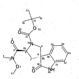 CON(C)C(=O)[C@@H]1C[C@@]2(CN1C(=O)OC(C)(C)C)C(=O)Nc1ccccc12